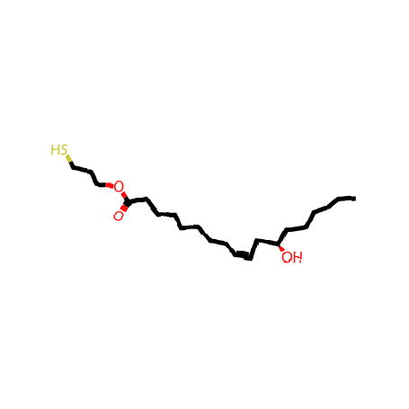 CCCCCC[C@@H](O)C/C=C\CCCCCCCC(=O)OCCCS